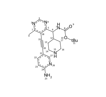 Cc1ncnc(C(NC(=O)OC(C)(C)C)C2CCNCC2)c1C#Cc1ccc(N)nc1